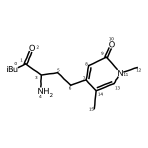 CCC(C)C(=O)C(N)CCc1cc(=O)n(C)cc1C